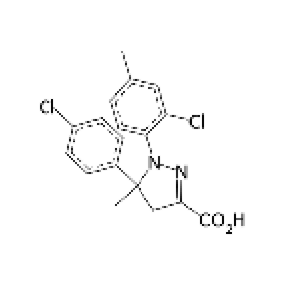 Cc1ccc(N2N=C(C(=O)O)CC2(C)c2ccc(Cl)cc2)c(Cl)c1